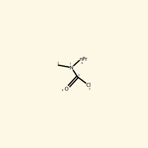 CCCN(C)C(=O)Cl